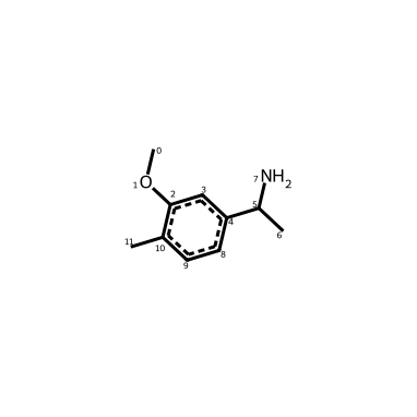 COc1cc(C(C)N)ccc1C